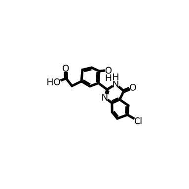 O=C(O)Cc1ccc(O)c(-c2nc3ccc(Cl)cc3c(=O)[nH]2)c1